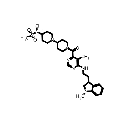 Cc1c(NCCC2CN(C)c3ccccc32)ncnc1C(=O)N1CCC(N2CCC(N(C)S(C)(=O)=O)CC2)CC1